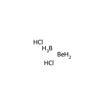 B.Cl.Cl.[BeH2]